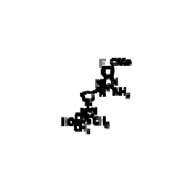 COc1cc2nc(N)n3nc(C4CCCN(c5nc(C)n(CC(C)(C)O)n5)C4)nc3c2cc1F